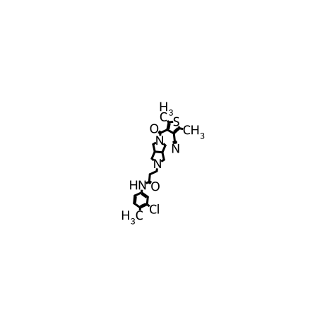 Cc1ccc(NC(=O)CCN2CC3CN(C(=O)c4c(C)sc(C)c4C#N)CC3C2)cc1Cl